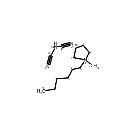 CCCCCC[N+]1(C)CCCC1.N#CNC#N